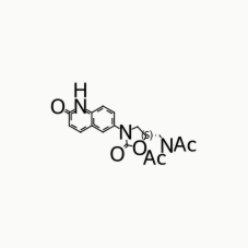 CC(=O)N(C[C@H]1CN(c2ccc3[nH]c(=O)ccc3c2)C(=O)O1)C(C)=O